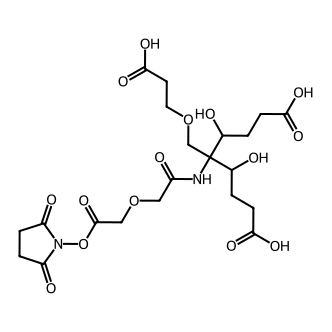 O=C(O)CCOCC(NC(=O)COCC(=O)ON1C(=O)CCC1=O)(C(O)CCC(=O)O)C(O)CCC(=O)O